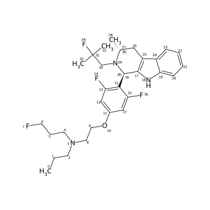 CCCN(CCCF)CCOc1cc(F)c([C@@H]2c3[nH]c4ccccc4c3C[C@@H](C)N2CC(C)(C)F)c(F)c1